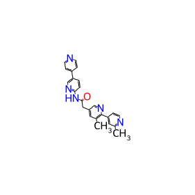 Cc1cc(-c2ncc(CC(=O)Nc3ccc(-c4ccncc4)cn3)cc2C)ccn1